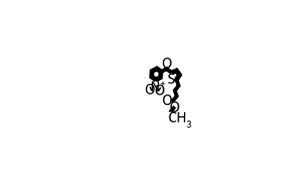 CCOC(=O)CCCc1ccc(C(=O)c2cccc([N+](=O)[O-])c2)s1